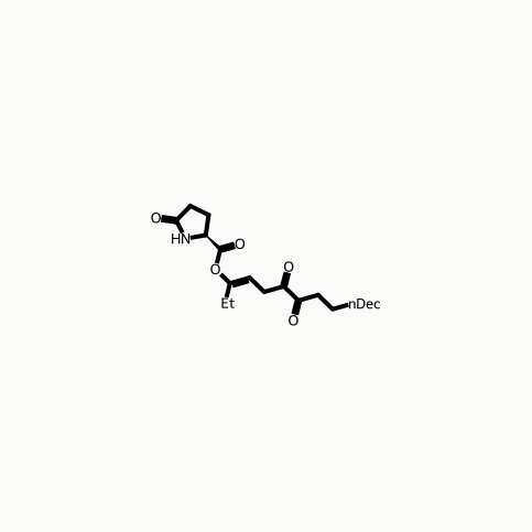 CCCCCCCCCCCCC(=O)C(=O)CC=C(CC)OC(=O)[C@@H]1CCC(=O)N1